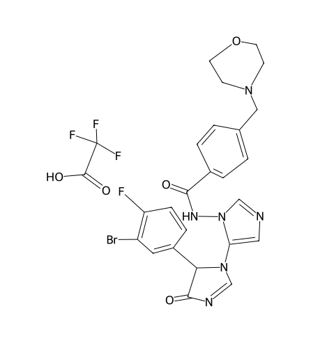 O=C(Nn1cncc1N1C=NC(=O)C1c1ccc(F)c(Br)c1)c1ccc(CN2CCOCC2)cc1.O=C(O)C(F)(F)F